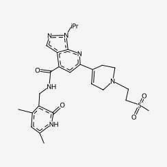 Cc1cc(C)c(CNC(=O)c2cc(C3=CCN(CCS(C)(=O)=O)CC3)nc3c2cnn3C(C)C)c(=O)[nH]1